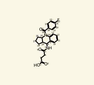 O=C(O)CCC(=O)NC1c2ccccc2N(C(=O)c2ccc(F)cc2)C2CCCC12